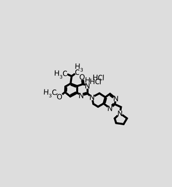 COc1cc(C(C)C)c2c(=O)[nH]c(N3CCc4nc(CN5CCCC5)ncc4C3)nc2c1.Cl.Cl